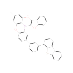 Cc1cc2c3c(c1)Oc1c(oc4ccccc14)P3c1cc(-c3cccc(-c4cccc5c4sc4ccccc45)c3)ccc1O2